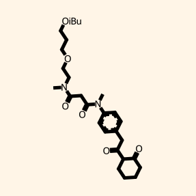 CC(C)COCCCOCCN(C)C(=O)CC(=O)N(C)c1ccc(CC(=O)C2CCCCC2=O)cc1